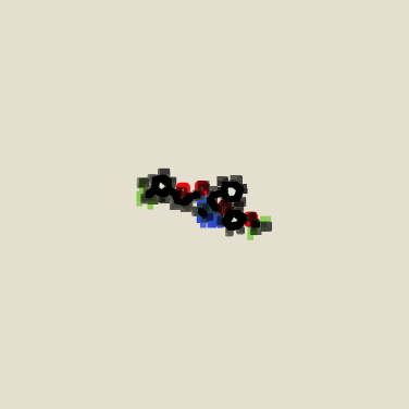 CCN(Nc1ccc(OC(F)F)cc1)C(=O)[C@H](CC1CCCCC1)NC(=O)c1ccc(-c2cccc(C(F)(F)F)c2)o1